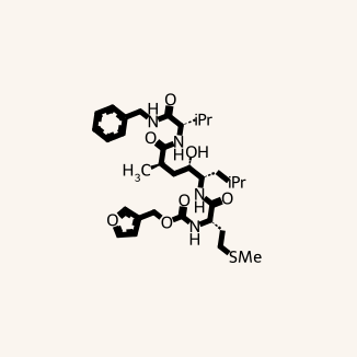 CSCC[C@H](NC(=O)OCc1ccoc1)C(=O)N[C@@H](CC(C)C)[C@@H](O)C[C@@H](C)C(=O)N[C@H](C(=O)NCc1ccccc1)C(C)C